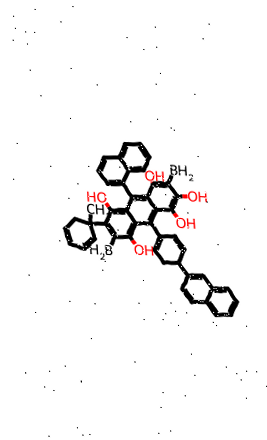 Bc1c(C2(C)C=CC=CC2)c(O)c2c(-c3cccc4ccccc34)c3c(O)c(B)c(O)c(O)c3c(C3=CCC(c4ccc5ccccc5c4)C=C3)c2c1O